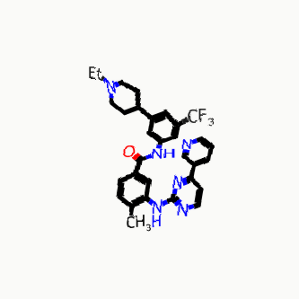 CCN1CCC(c2cc(NC(=O)c3ccc(C)c(Nc4nccc(-c5cccnc5)n4)c3)cc(C(F)(F)F)c2)CC1